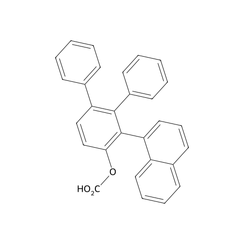 O=C(O)Oc1ccc(-c2ccccc2)c(-c2ccccc2)c1-c1cccc2ccccc12